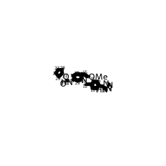 COc1cc(-c2nnn[nH]2)ccc1Cn1ccc2ccc(NC(=O)OC3CCCC3)cc21